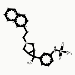 CC1(c2cccc(NS(C)(=O)=O)c2)C2CN(CCc3ccc4ccccc4c3)CC21